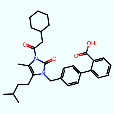 Cc1c(CCC(C)C)n(Cc2ccc(-c3ccccc3C(=O)O)cc2)c(=O)n1C(=O)CC1CCCCC1